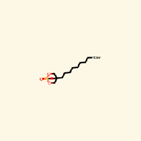 CCCCCCCCCCCCCCCCCCC12COP(=O)(OC1)OC2